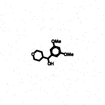 COc1cc(OC)cc(C(O)C2CCOCC2)c1